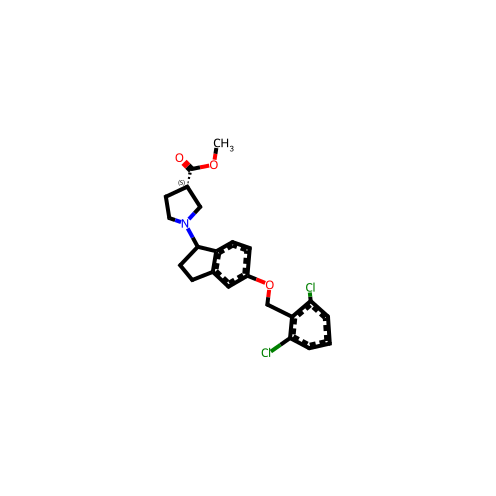 COC(=O)[C@H]1CCN(C2CCc3cc(OCc4c(Cl)cccc4Cl)ccc32)C1